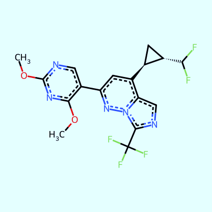 COc1ncc(-c2cc([C@H]3C[C@@H]3C(F)F)c3cnc(C(F)(F)F)n3n2)c(OC)n1